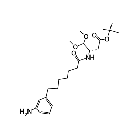 COC(OC)[C@H](CC(=O)OC(C)(C)C)NC(=O)CCCCCCc1cccc(N)c1